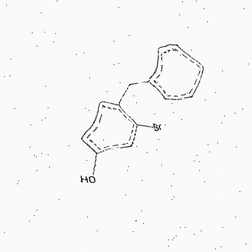 Oc1ccc(Cc2ccccc2)c(Br)c1